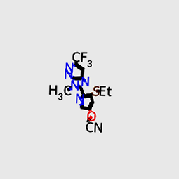 CCSc1cc(OCC#N)cnc1-c1nc2cc(C(F)(F)F)nnc2n1C